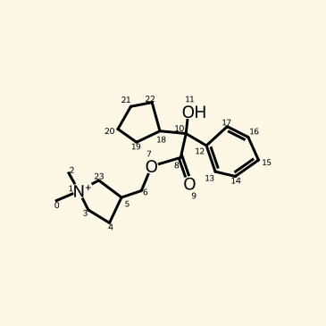 C[N+]1(C)CCC(COC(=O)C(O)(c2ccccc2)C2CCCC2)C1